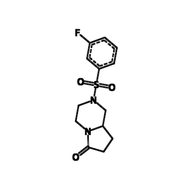 O=C1CCC2CN(S(=O)(=O)c3cccc(F)c3)CCN12